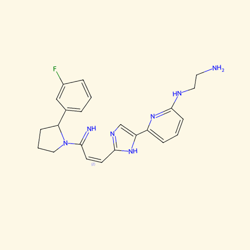 N=C(/C=C\c1ncc(-c2cccc(NCCN)n2)[nH]1)N1CCCC1c1cccc(F)c1